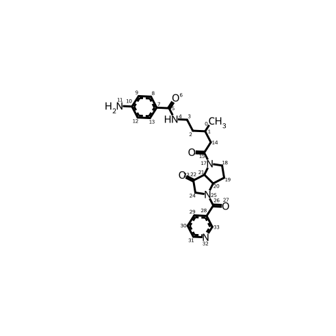 CC(CCNC(=O)c1ccc(N)cc1)CC(=O)N1CCC2C1C(=O)CN2C(=O)c1cccnc1